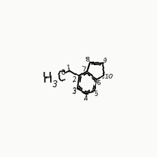 CCc1cccc2c1C=C[CH]2